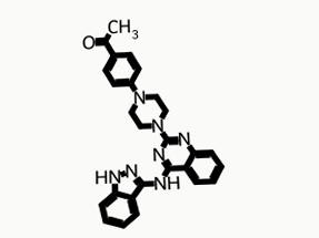 CC(=O)c1ccc(N2CCN(c3nc(Nc4n[nH]c5ccccc45)c4ccccc4n3)CC2)cc1